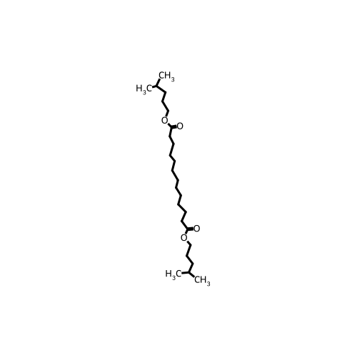 CC(C)CCCOC(=O)CCCCCCCCCCCC(=O)OCCCC(C)C